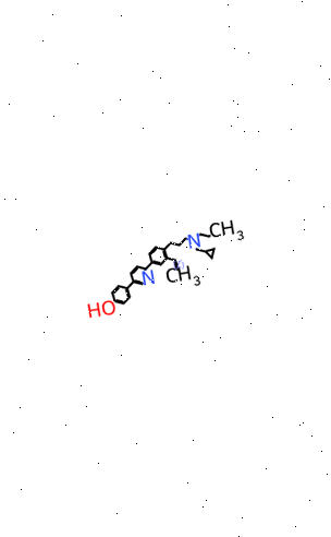 C/C=C\c1cc(-c2ccc(-c3ccc(O)cc3)cn2)ccc1CCCN(CCC)CC1CC1